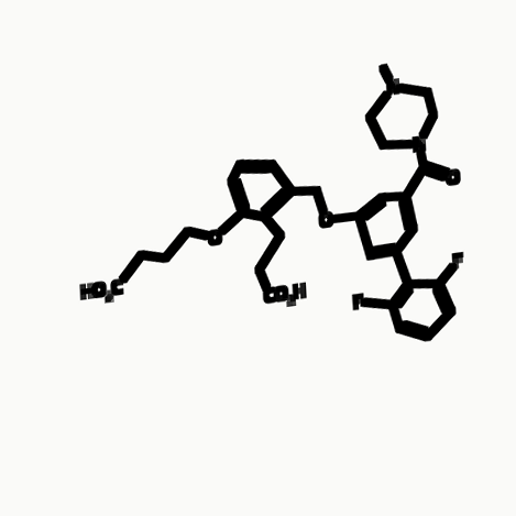 CN1CCN(C(=O)c2cc(OCc3cccc(OCCCC(=O)O)c3CCC(=O)O)cc(-c3c(F)cccc3F)c2)CC1